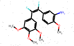 COc1ccc(/C(F)=C(/F)c2cc(OC)c(OC)c(OC)c2)cc1N